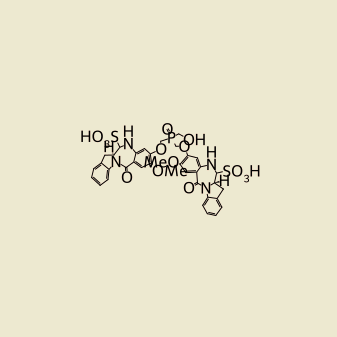 COc1cc2c(cc1OCP(=O)(CO)COc1cc3c(cc1OC)C(=O)N1c4ccccc4C[C@H]1C(S(=O)(=O)O)N3)NC(S(=O)(=O)O)[C@@H]1Cc3ccccc3N1C2=O